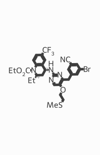 CCOC(=O)N1c2ccc(C(F)(F)F)cc2[C@@H](Nc2ncc(OCCSC)c(Cc3cc(Br)cc(C#N)c3)n2)C[C@H]1CC